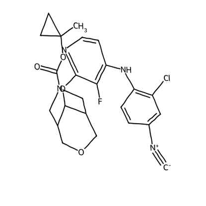 [C-]#[N+]c1ccc(Nc2ccnc(OC3C4COCC3CN(C(=O)OC3(C)CC3)C4)c2F)c(Cl)c1